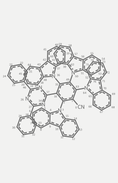 N#Cc1c(-n2c3ccccc3c3ccccc32)c(-c2nc(-c3ccccc3)nc(-c3ccccc3)n2)c(-n2c3ccccc3c3ccccc32)c(-n2c3ccccc3c3ccccc32)c1-n1c2ccccc2c2ccccc21